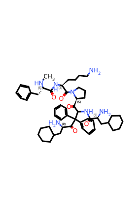 CN[C@@H](Cc1ccccc1)C(=O)N[C@@H](CCCCN)C(=O)N1CCC[C@H]1C(=O)C(NC(=O)[C@@H](N)CC1CCCCC1)C(C(=O)[C@H](N)CC1CCCCC1)(c1ccccc1)c1ccccc1